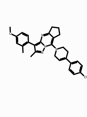 COc1ccc(-c2c(C)nn3c(N4CC=C(c5ccc(Cl)cc5)CC4)c4c(nc23)CCC4)c(C)c1